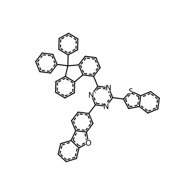 c1ccc(C2(c3ccccc3)c3ccccc3-c3c(-c4nc(-c5ccc6c(c5)oc5ccccc56)nc(-c5cc6ccccc6s5)n4)cccc32)cc1